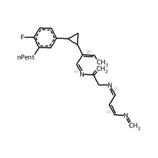 C=N/C=C\C=N/CC(=C)/N=C\C(=C/C)C1CC1c1ccc(F)c(CCCCC)c1